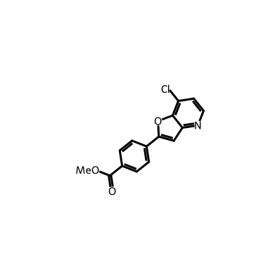 COC(=O)c1ccc(-c2cc3nccc(Cl)c3o2)cc1